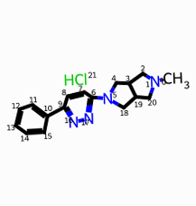 CN1CC2CN(c3ccc(-c4ccccc4)nn3)CC2C1.Cl